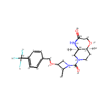 CC1C(OCc2ccc(C(F)(F)F)cc2)CN1C(=O)N1CC[C@@H]2OCC(=O)N[C@@H]2C1